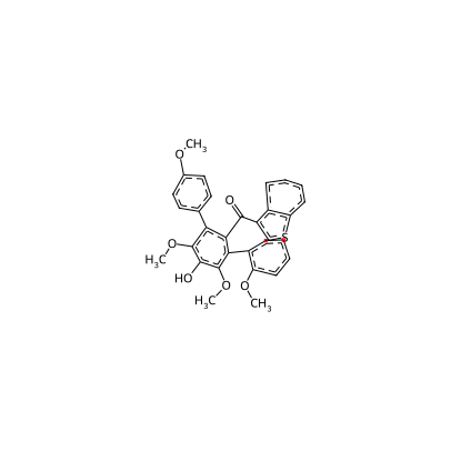 COc1ccc(-c2c(OC)c(O)c(OC)c(-c3ccccc3OC)c2C(=O)c2csc3ccccc23)cc1